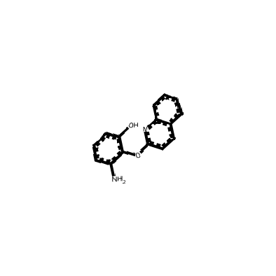 Nc1cccc(O)c1Oc1ccc2ccccc2n1